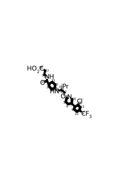 CC(C)[C@@H](COc1ccc(-c2ccc(C(F)(F)F)cc2Cl)cn1)Nc1ccc(C(=O)NCCC(=O)O)cc1